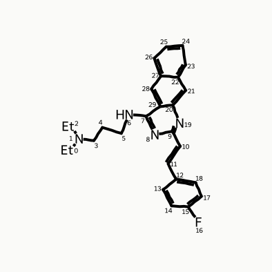 CCN(CC)CCCNc1nc(/C=C/c2ccc(F)cc2)nc2cc3ccccc3cc12